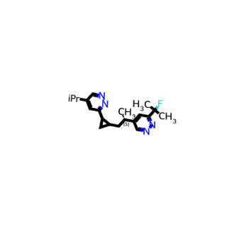 CC(C)c1cnnc(C2CC2C[C@H](C)c2cnnc(C(C)(C)F)c2)c1